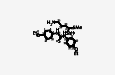 CCOc1ccc(NC(=S)Nc2ccc(OCC)cc2)cc1.CS[CH]([SnH])CCCN